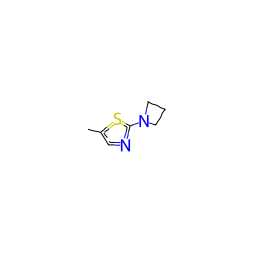 Cc1cnc(N2CCC2)s1